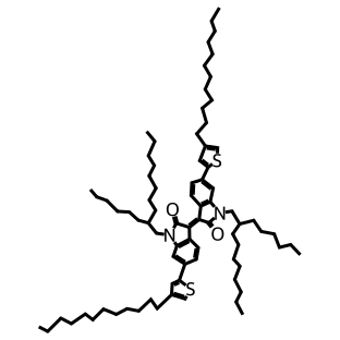 CCCCCCCCCCCCc1csc(-c2ccc3c(c2)N(CC(CCCCCC)CCCCCCCC)C(=O)/C3=C2/C(=O)N(CC(CCCCCC)CCCCCCCC)c3cc(-c4cc(CCCCCCCCCCCC)cs4)ccc32)c1